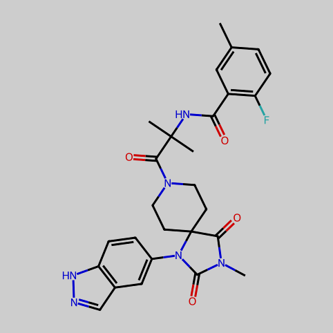 Cc1ccc(F)c(C(=O)NC(C)(C)C(=O)N2CCC3(CC2)C(=O)N(C)C(=O)N3c2ccc3[nH]ncc3c2)c1